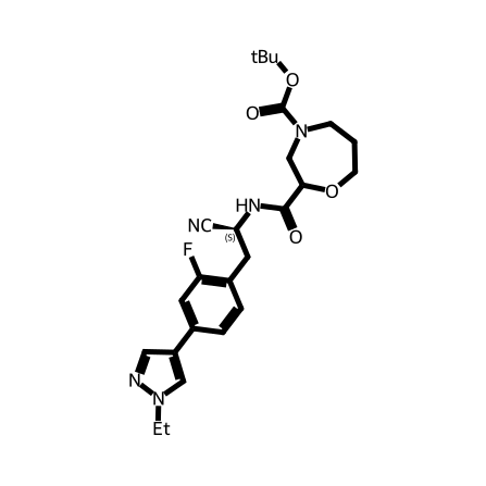 CCn1cc(-c2ccc(C[C@@H](C#N)NC(=O)C3CN(C(=O)OC(C)(C)C)CCCO3)c(F)c2)cn1